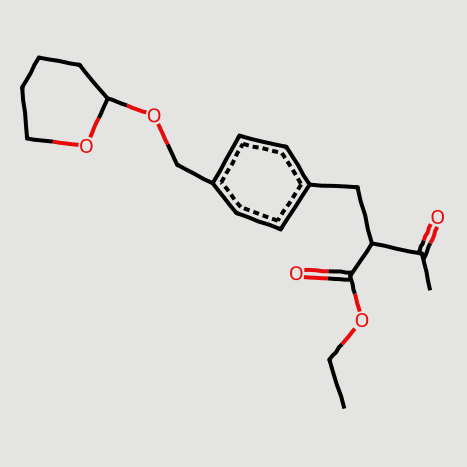 CCOC(=O)C(Cc1ccc(COC2CCCCO2)cc1)C(C)=O